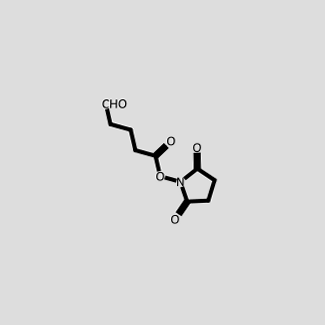 O=CCCCC(=O)ON1C(=O)CCC1=O